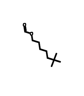 CC(C)(C)CCCCCOC=O